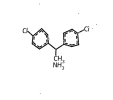 CC(c1ccc(Cl)cc1)c1ccc(Cl)cc1.N